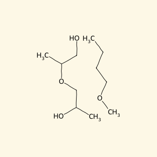 CC(O)COC(C)CO.CCCCOC